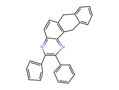 c1ccc(-c2nc3ccc4c(c3nc2-c2ccccc2)Cc2ccccc2C4)cc1